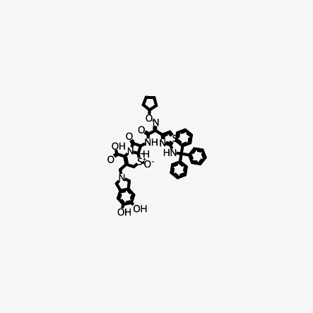 O=C(O)C1=C(CN2Cc3cc(O)c(O)cc3C2)C[S+]([O-])[C@@H]2C(NC(=O)/C(=N\OC3CCCC3)c3csc(NC(c4ccccc4)(c4ccccc4)c4ccccc4)n3)C(=O)N12